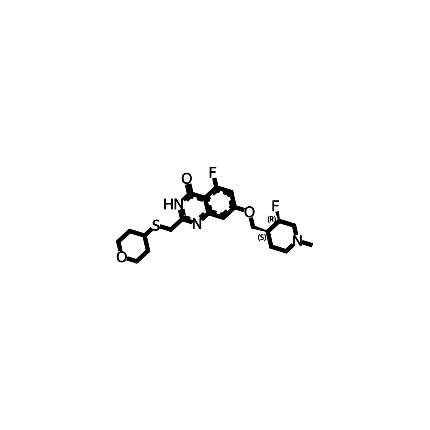 CN1CC[C@@H](COc2cc(F)c3c(=O)[nH]c(CSC4CCOCC4)nc3c2)[C@@H](F)C1